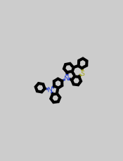 c1ccc(-n2c3ccccc3c3cc(-n4c5cccc6sc7ccccc7c7cccc4c7c65)ccc32)cc1